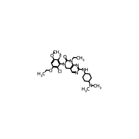 CCOc1cc(OC)c(F)c(N2Cc3cnc(NC4CCC(N(C)C)CC4)nc3N(CC)C2=O)c1Cl